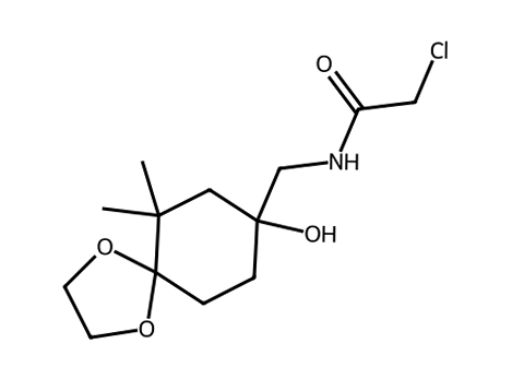 CC1(C)CC(O)(CNC(=O)CCl)CCC12OCCO2